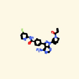 C=CC(=O)N1CC2CC1C(n1nc(-c3ccc(C(=O)Nc4cc(F)ccn4)cc3)c3c(N)ncnc31)C2